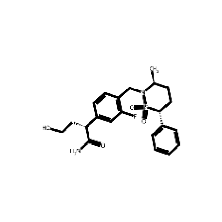 C[C@H]1CC[C@H](c2ccccc2)S(=O)(=O)N1Cc1ccc([C@@H](CCO)C(N)=O)cc1F